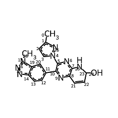 Cc1ccn(-c2nc3c(nc2-c2ccc4nnn(C)c4c2)C=CC(O)N3)n1